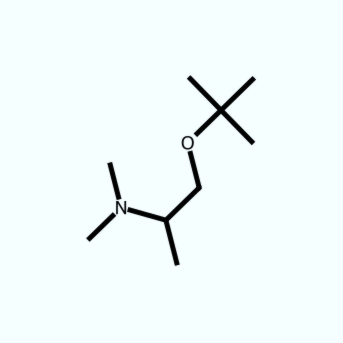 CC(COC(C)(C)C)N(C)C